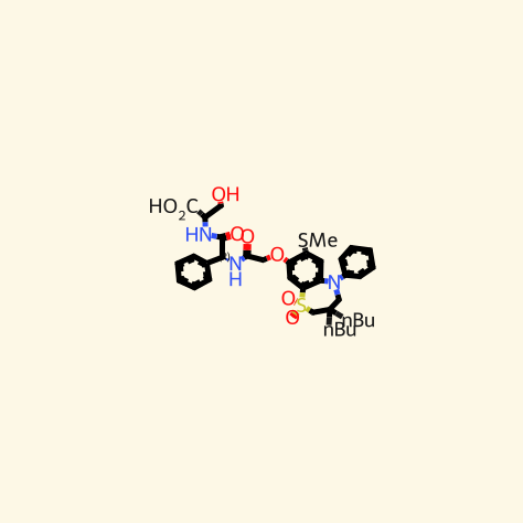 CCCCC1(CCCC)CN(c2ccccc2)c2cc(SC)c(OCC(=O)N[C@@H](C(=O)NC(CO)C(=O)O)c3ccccc3)cc2S(=O)(=O)C1